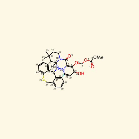 COC(=O)OCOC1=C2C(=O)N3CCC(C)(C)C[C@H]3N([C@@H]3c4ccccc4SCc4cccc(F)c43)N2C=CC1O